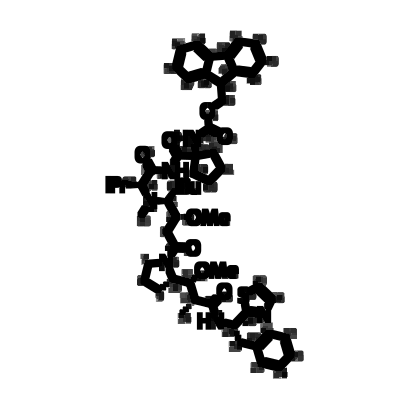 CC[C@H](C)[C@@H]([C@@H](CC(=O)N1CCC[C@H]1[C@H](OC)[C@@H](C)C(=O)N[C@@H](Cc1ccccc1)c1nccs1)OC)N(C)[C@H](C(=O)NC(=O)C1(NC(=O)OCC2c3ccccc3-c3ccccc32)CCCC1)C(C)C